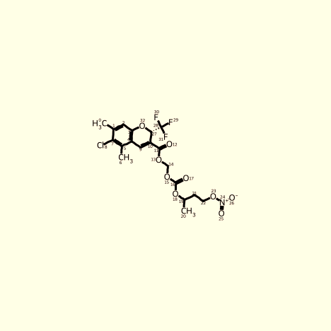 Cc1cc2c(c(C)c1Cl)C=C(C(=O)OCOC(=O)OC(C)CCO[N+](=O)[O-])[C@@H](C(F)(F)F)O2